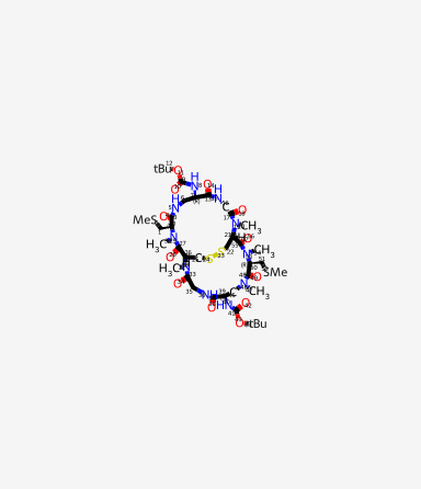 CSC[C@H]1C(=O)NC[C@@H](NC(=O)OC(C)(C)C)C(=O)NCC(=O)N(C)[C@H]2CSSC[C@@H](C(=O)N1C)N(C)C(=O)CNC(=O)[C@H](NC(=O)OC(C)(C)C)CN(C)C(=O)[C@H](CSC)N(C)C2=O